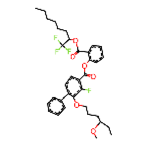 CCCCCCC(OC(=O)c1ccccc1OC(=O)c1ccc(-c2ccccc2)c(OCCCC(CC)OC)c1F)C(F)(F)F